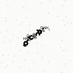 Cc1cc(N(C)C(N)=O)cc(C)c1CCS(=O)(=O)N1CCC2(CC1)N=C(C1CCC(C)(C)CC1)NC2=O